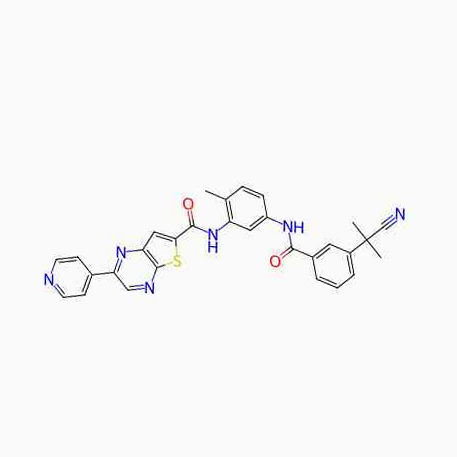 Cc1ccc(NC(=O)c2cccc(C(C)(C)C#N)c2)cc1NC(=O)c1cc2nc(-c3ccncc3)cnc2s1